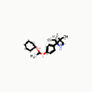 CC(Oc1ccc(C2(CC(C)(C)C)NCC2(C)C)cc1)OC1CCCCC1